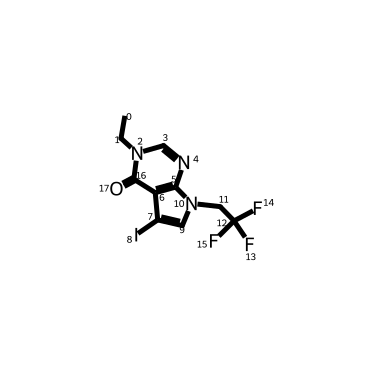 CCn1cnc2c(c(I)cn2CC(F)(F)F)c1=O